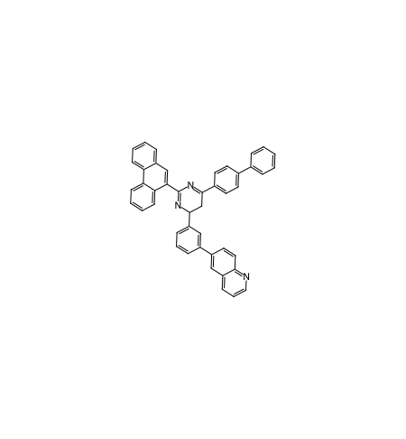 c1ccc(-c2ccc(C3=NC(c4cc5ccccc5c5ccccc45)=NC(c4cccc(-c5ccc6ncccc6c5)c4)C3)cc2)cc1